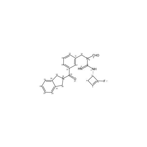 N=C(N[C@H]1CC=C1F)N(C=O)Cc1cccc(C(=O)N2Cc3ccccc3C2)c1